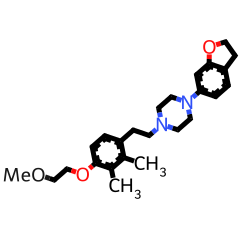 COCCOc1ccc(CCN2CCN(c3ccc4c(c3)OCC4)CC2)c(C)c1C